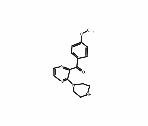 COc1ccc(C(=O)c2nccnc2N2CCNCC2)cc1